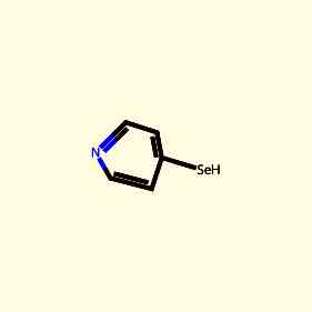 [SeH]c1ccncc1